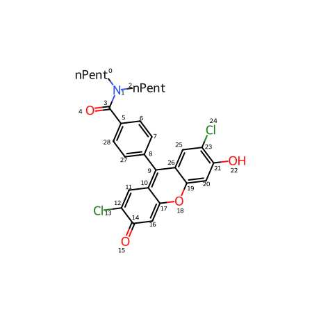 CCCCCN(CCCCC)C(=O)c1ccc(-c2c3cc(Cl)c(=O)cc-3oc3cc(O)c(Cl)cc23)cc1